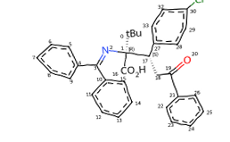 CC(C)(C)[C@@](N=C(c1ccccc1)c1ccccc1)(C(=O)O)[C@@H](CC(=O)c1ccccc1)c1ccc(Cl)cc1